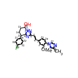 COc1cc(C=Cc2nc3n(n2)C(O)CCC3c2ccc(F)cc2)ccc1-n1cnc(C)c1